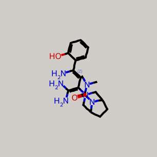 CN(C)C(=O)N1C2CCC1CN(C(/C=C(\N)c1ccccc1O)=C(N)N)C2